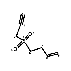 C#CCS(=O)(=O)CCC=C